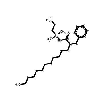 CCCCCCCCCCCCC(Cc1ccccc1)C(=O)N[N+](C)(C)CCC